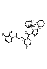 CO[C@@]1(C)CCCC[C@H]1n1cnc(C(=O)N2CCNC[C@H]2CCNc2cccc(F)c2O)c1-c1ccccc1